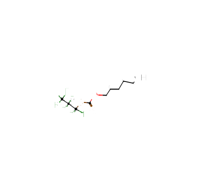 CCCCCCOC(=S)SC(F)(F)C(F)(F)C(F)(F)F